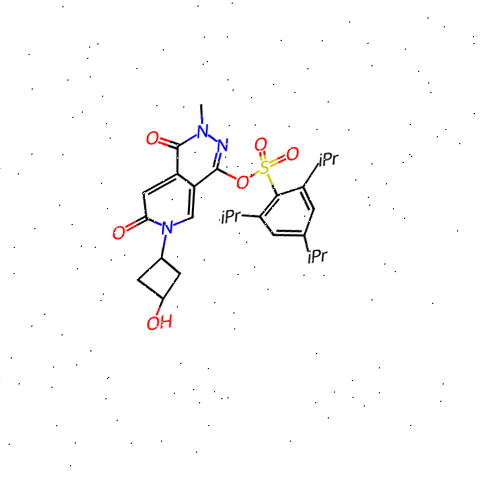 CC(C)c1cc(C(C)C)c(S(=O)(=O)Oc2nn(C)c(=O)c3cc(=O)n(C4CC(O)C4)cc23)c(C(C)C)c1